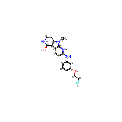 Cn1c2c(c3ccc(Nc4cccc(OCC[18F])c4)nc31)C(=O)NCC2